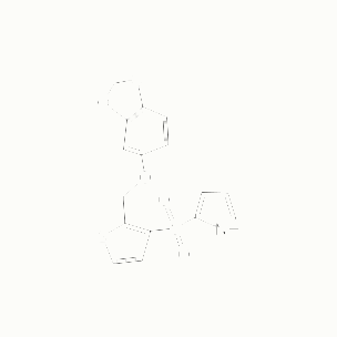 O=S(=O)(c1ccc[nH]1)c1ccsc1COc1ccc2c(c1)OCO2